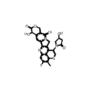 Cc1c(F)cc2nc3c(c4c2c1SCC4N1CC(O)CC1=O)Cn1c-3cc2c(c1=O)COC(=O)C2O